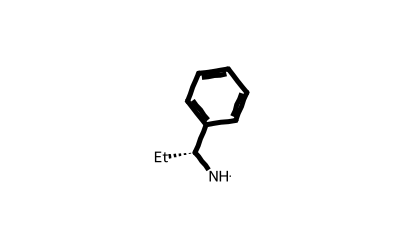 CC[C@@H]([NH])c1ccccc1